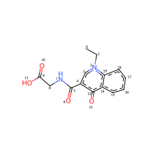 CCn1cc(C(=O)NCC(=O)O)c(=O)c2ccccc21